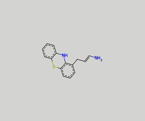 NC=CCc1cccc2c1Nc1ccccc1S2